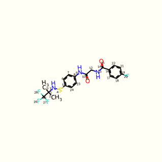 CC(C)(NSc1ccc(NC(=O)CNC(=O)c2ccc(F)cc2)cc1)C(F)(F)F